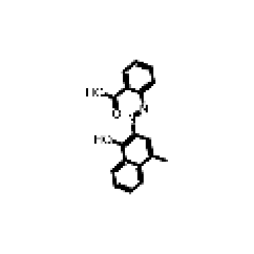 Cc1cc(N=Nc2ccccc2C(=O)O)c(O)c2ccccc12